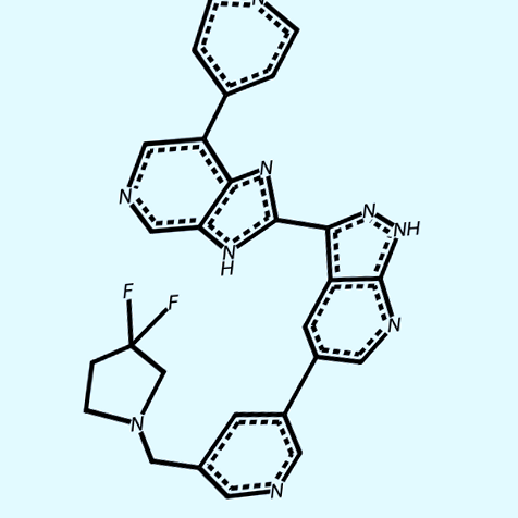 FC1(F)CCN(Cc2cncc(-c3cnc4[nH]nc(-c5nc6c(-c7ccncc7)cncc6[nH]5)c4c3)c2)C1